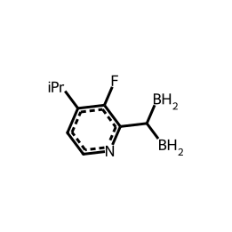 BC(B)c1nccc(C(C)C)c1F